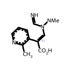 CNN(C=N)/C=C(/C(=O)O)c1cccnc1C